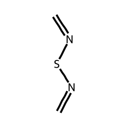 C=NSN=C